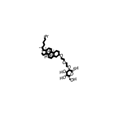 CC(C)CCC[C@@H](C)[C@H]1CC[C@H]2[C@@H]3CC=C4CC(OCCOCCO[C@H]5[C@@H](O)[C@H](O)[C@@H](CO)O[C@H]5S)CC[C@]4(C)[C@H]3CC[C@]12C